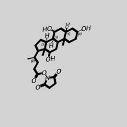 C[C@H](CCC(=O)ON1C(=O)CCC1=O)C1CC[C@H]2[C@@H]3C(CC(O)C12C)C1(C)CC[C@@H](O)C[C@H]1C[C@@H]3O